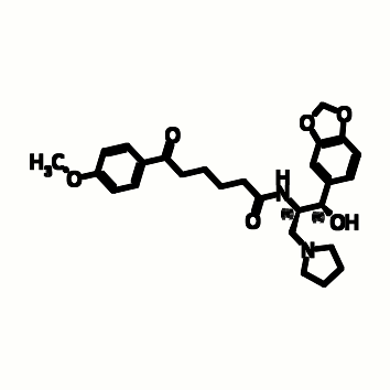 COc1ccc(C(=O)CCCCC(=O)N[C@H](CN2CCCC2)[C@H](O)c2ccc3c(c2)OCO3)cc1